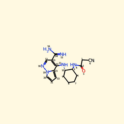 N#CCC(=O)N[C@H]1CCCC[C@@H]1Nc1c(C(=N)N)cnn2cccc12